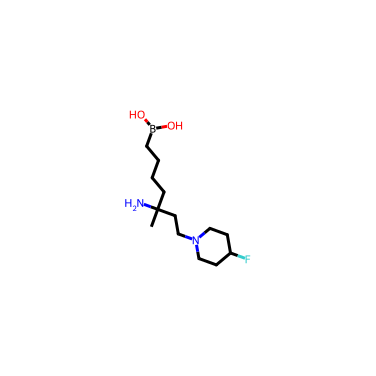 CC(N)(CCCCB(O)O)CCN1CCC(F)CC1